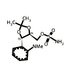 CNc1ccccc1[C@@H]1OC(C)(C)O[C@H]1COS(N)(=O)=O